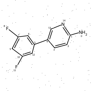 Nc1ccc(-c2cc(F)cc(F)c2)cn1